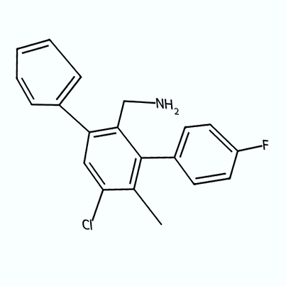 Cc1c(Cl)cc(-c2ccccc2)c(CN)c1-c1ccc(F)cc1